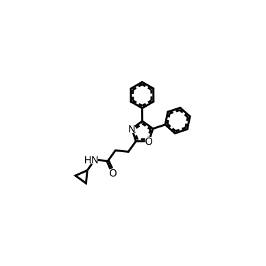 O=C(CCc1nc(-c2ccccc2)c(-c2ccccc2)o1)NC1CC1